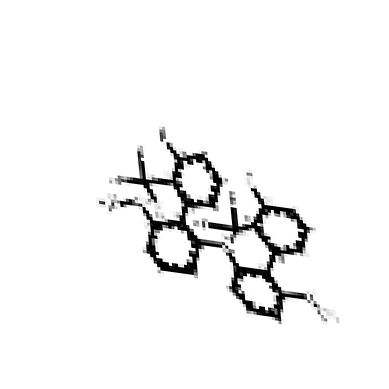 COc1cccc(Sc2cccc(OC)c2-c2cccc(F)c2C(F)(F)F)c1-c1cccc(F)c1C(F)(F)F